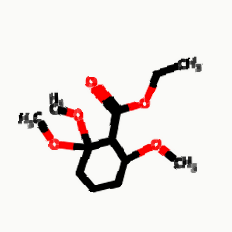 CCOC(=O)C1C(OC)CCCC1(OC)OC